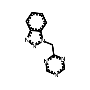 c1ccc2c(c1)nnn2Cc1ncncn1